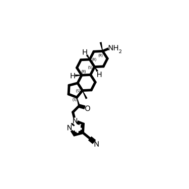 C[C@@]1(N)CC[C@@H]2C3CC[C@@]4(C)C(CC[C@@H]4C(=O)Cn4cc(C#N)cn4)[C@@H]3CC[C@@H]2C1